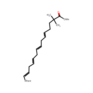 CCCCCC=CCC=CCC=CCC=CCCC(C)(C)C(=O)OC